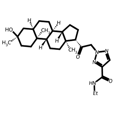 CCNC(=O)c1cnn(CC(=O)[C@H]2CC[C@H]3[C@@H]4CC[C@@H]5C[C@](C)(O)CC[C@]5(C)[C@H]4CC[C@]23C)n1